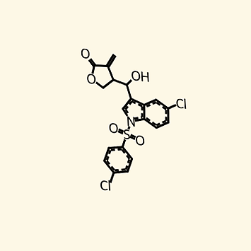 C=C1C(=O)OCC1C(O)c1cn(S(=O)(=O)c2ccc(Cl)cc2)c2ccc(Cl)cc12